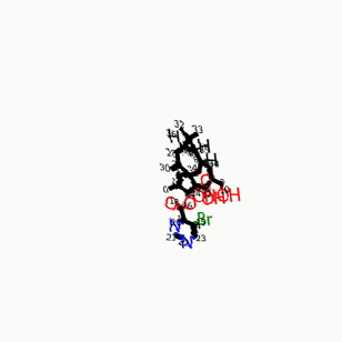 CC1=CC23C(=O)[C@@H](C=C(CO)[C@@H](O)[C@]2(O)[C@H]1OC(=O)c1ncncc1Br)[C@H]1[C@@H](CC3C)C1(C)C